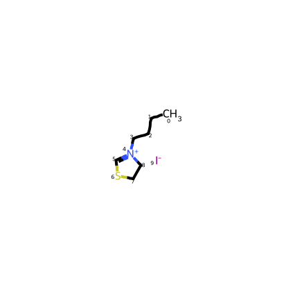 CCCC[N+]1=CSCC1.[I-]